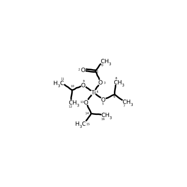 CC(=O)[O][Ti]([O]C(C)C)([O]C(C)C)[O]C(C)C